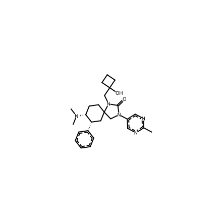 Cc1ncc(N2CC3(CC[C@@H](N(C)C)[C@@H](c4ccccc4)C3)N(CC3(O)CCC3)C2=O)cn1